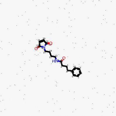 O=C(CCCc1ccccc1)NCCCCN1C(=O)C=CC1=O